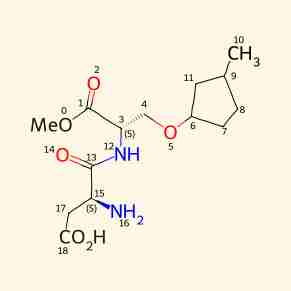 COC(=O)[C@H](COC1CCC(C)C1)NC(=O)[C@@H](N)CC(=O)O